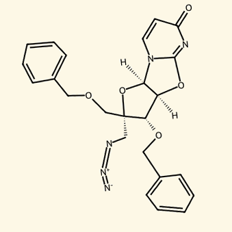 [N-]=[N+]=NC[C@]1(COCc2ccccc2)O[C@@H]2[C@@H](Oc3nc(=O)ccn32)[C@@H]1OCc1ccccc1